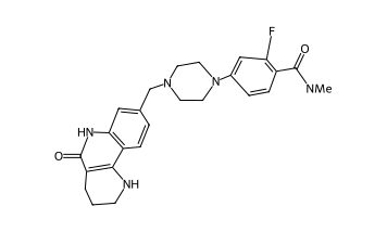 CNC(=O)c1ccc(N2CCN(Cc3ccc4c5c(c(=O)[nH]c4c3)CCCN5)CC2)cc1F